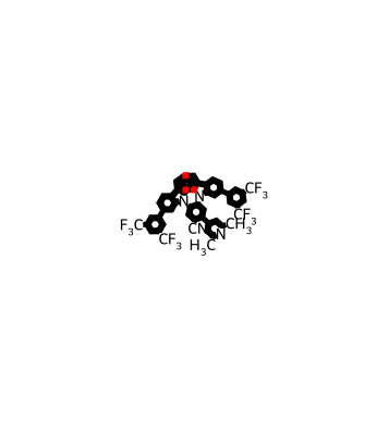 Cc1cc(-c2cc(-n3c4ccccc4c4ccc(-c5cc(C(F)(F)F)cc(C(F)(F)F)c5)cc43)c(-n3c4ccccc4c4ccc(-c5cc(C(F)(F)F)cc(C(F)(F)F)c5)cc43)cc2C#N)cc(C)n1